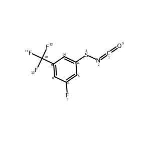 O=C=NSc1cc(F)cc(C(F)(F)F)c1